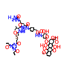 C=CC(=O)N1CN(C(=O)C=C)CN(C(=O)CCSCC(=O)N[C@H](C(=O)N[C@@H](CCCNC(N)=O)C(=O)Nc2ccc(COC(=O)N[C@H]3C[C@H](O[C@H]4C[C@](O)(C(C)=O)Cc5c(O)c6c(c(O)c54)C(=O)c4c(OC)cccc4C6=O)O[C@@H](C)[C@H]3O)cc2)C(C)C)C1